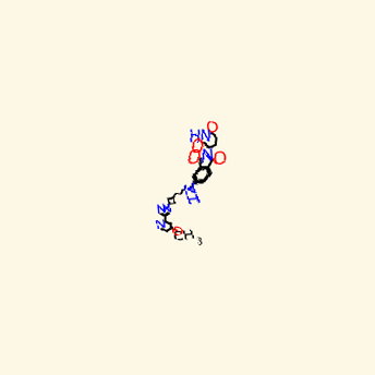 COc1ccnc(-c2cnn(C3CC(CCCNc4ccc5c(c4)C(=O)N(C4CCC(=O)NC4=O)C5=O)C3)c2)c1